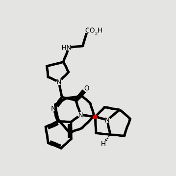 O=C(O)CNC1CCN(c2nc3ccccc3n(C3CC4CC[C@@H](C3)N4C3CCCCCCC3)c2=O)C1